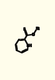 CCOC(=S)C1=CC=CC=CN1